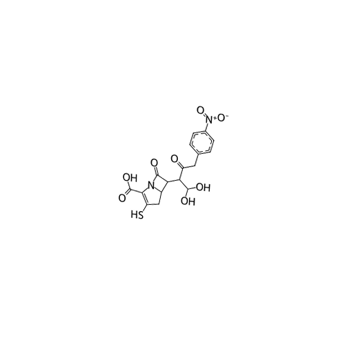 O=C(O)C1=C(S)CC2C(C(C(=O)Cc3ccc([N+](=O)[O-])cc3)C(O)O)C(=O)N12